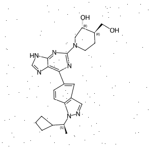 C[C@@H](C1CCC1)n1ncc2cc(-c3nc(N4CC[C@H](CO)[C@@H](O)C4)nc4[nH]cnc34)ccc21